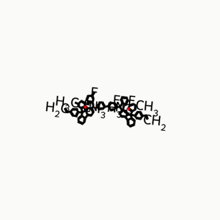 C=Cc1ccc(C2(c3cc(C)ccc3C)c3ccccc3-c3ccc(N(c4ccc(-c5ccc(N(c6ccc7c(c6)C(c6ccc(C=C)cc6)(c6cc(C)ccc6C)c6ccccc6-7)c6cc(F)ccc6F)cc5)cc4)c4cc(F)ccc4F)cc32)cc1